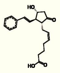 O=C(O)CCC/C=C\C[C@H]1C(=O)C[C@@H](O)[C@@H]1/C=C/c1ccccc1